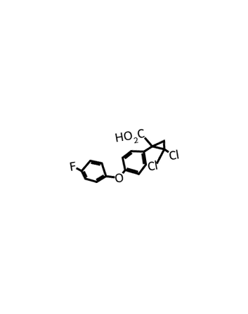 O=C(O)C1(c2ccc(Oc3ccc(F)cc3)cc2)CC1(Cl)Cl